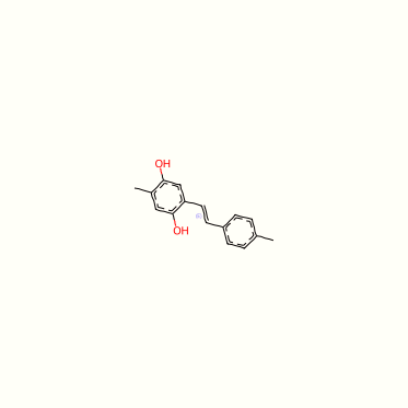 Cc1ccc(/C=C/c2cc(O)c(C)cc2O)cc1